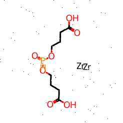 O=C(O)CCCO[PH](=O)OCCCC(=O)O.[Zr].[Zr]